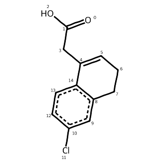 O=C(O)CC1=CCCc2cc(Cl)ccc21